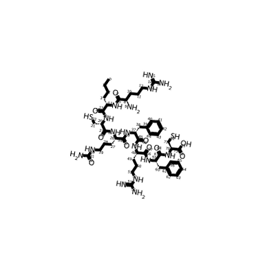 CCCC[C@H](NC(=O)[C@@H](N)CCCNC(=N)N)C(=O)N[C@@H](CS)C(=O)N[C@@H](CCCNC(N)=O)C(=O)N[C@H](Cc1ccccc1)C(=O)N[C@@H](CCCNC(=N)N)C(=O)N[C@@H](Cc1ccccc1)C(=O)N[C@@H](CS)C(=O)O